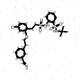 CC(C)(C)NS(=O)(=O)c1ccccc1NS(=O)(=O)CCc1ccc(Cl)cc1OCCc1cccc(C#N)c1